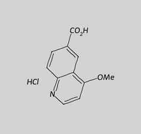 COc1ccnc2ccc(C(=O)O)cc12.Cl